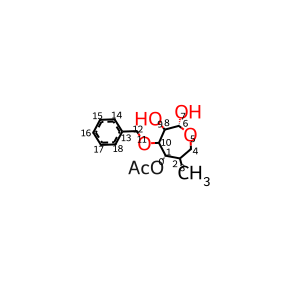 CC(=O)O[C@H]1C(C)CO[C@@H](O)C(O)C1OCc1ccccc1